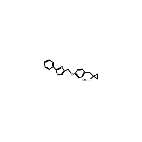 CCOC(=O)C1(Cc2ccc(OCc3csc(-c4ccccc4)n3)cc2)CC1